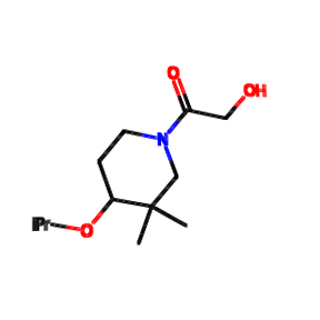 CC(C)OC1CCN(C(=O)CO)CC1(C)C